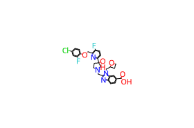 O=C(O)c1ccc2nc(CN3CC[C@](O)(c4ccc(F)c(COc5ccc(Cl)cc5F)n4)C3)n(CC3CCO3)c2c1